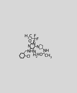 CC(O)N[C@H]1CCN(c2nc(O[C@@H](C)C(F)(F)F)nc(NCc3ccccc3Cl)c2N)C1